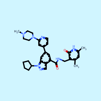 Cc1cc(C)c(CNC(=O)c2cc(-c3ccnc(N4CCN(C)CC4)c3)cc3c2cnn3C2CCCC2)c(=O)[nH]1